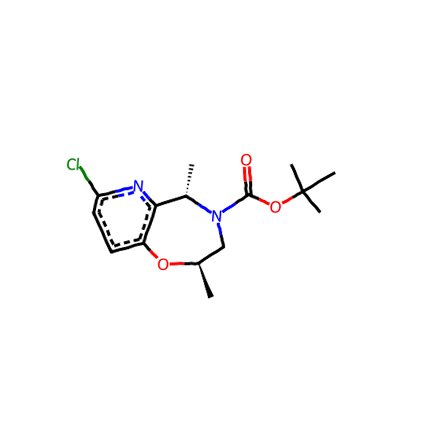 C[C@@H]1CN(C(=O)OC(C)(C)C)[C@@H](C)c2nc(Cl)ccc2O1